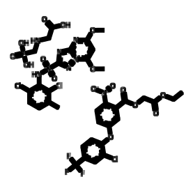 CCOC(=O)COC(=O)c1cc(Oc2ccc(C(F)(F)F)cc2Cl)ccc1[N+](=O)[O-].COc1cc(OC)n2nc(S(=O)(=O)Nc3c(Cl)ccc(C)c3Cl)nc2n1.O=C(O)CNCP(=O)(O)O